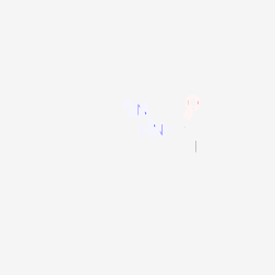 CCC(=O)N/N=C1/CCc2ccccc21